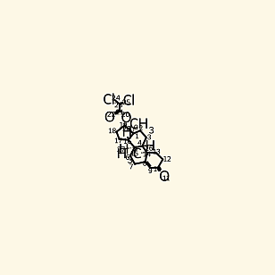 C[C@]12CC[C@H]3[C@@H](CCC4=CC(=O)CC[C@@]43C)[C@@H]1CC[C@@H]2OC(=O)C(Cl)Cl